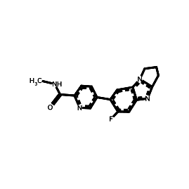 CNC(=O)c1ccc(-c2cc3c(cc2F)nc2n3CCC2)cn1